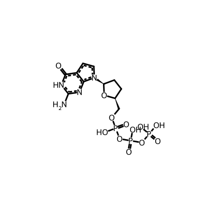 Nc1nc2c(ccn2[C@H]2CC[C@@H](COP(=O)(O)OP(=O)(O)OP(=O)(O)O)O2)c(=O)[nH]1